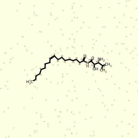 CCCCCCCC/C=C\CCCCCCCC(=O)NC(=O)C(O)[C@@H](N)C(C)C